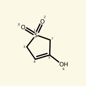 O=S1(=O)CC=C(O)C1